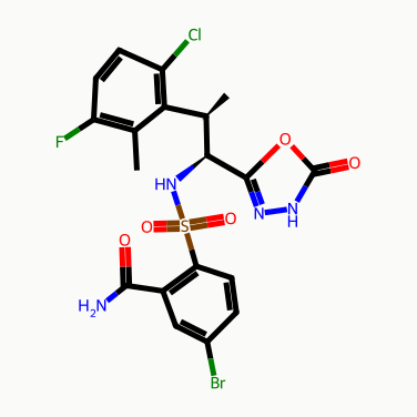 Cc1c(F)ccc(Cl)c1[C@@H](C)[C@H](NS(=O)(=O)c1ccc(Br)cc1C(N)=O)c1n[nH]c(=O)o1